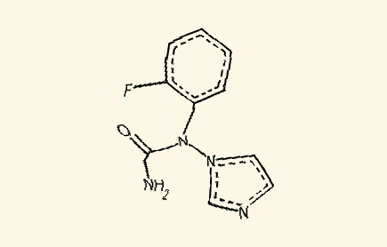 NC(=O)N(c1ccccc1F)n1ccnc1